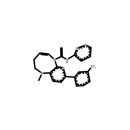 C=C(Nc1cccnn1)N1/C=C\CCN(C)c2ccc(-c3cccc(C(F)(F)F)c3)nc21